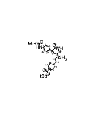 COC(=O)Nc1ccc(-c2cc(C(N)CCC3CCN(C(=O)OC(C)(C)C)CC3)n[nH]c2=O)cc1